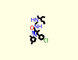 C=CCC(CC)C(C)NCCNC(=O)c1nn(-c2ccc(C)cc2C)c(-c2ccc(Cl)cc2)c1C